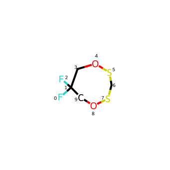 FC1(F)COSCSOC1